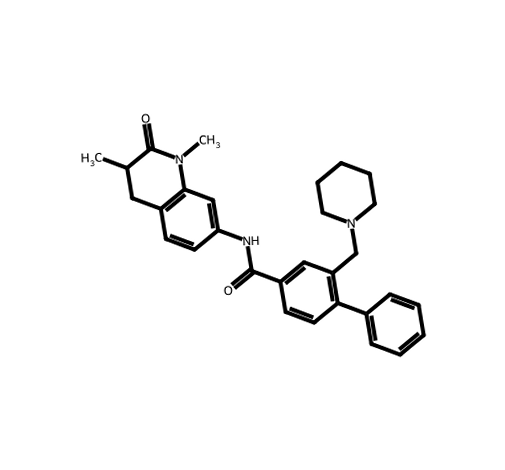 CC1Cc2ccc(NC(=O)c3ccc(-c4ccccc4)c(CN4CCCCC4)c3)cc2N(C)C1=O